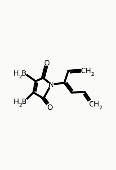 BC1=C(B)C(=O)N(/C(C=C)=C/C=C)C1=O